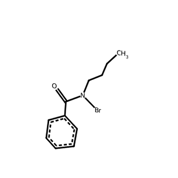 CCCCN(Br)C(=O)c1ccccc1